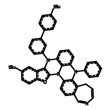 CC(C)(C)c1ccc(-c2cccc(N3c4cccc5c4B(c4ccc6c(c4N5c4ccccc4)CC=CN=C6)c4oc5ccc(C(C)(C)C)cc5c43)c2)cc1